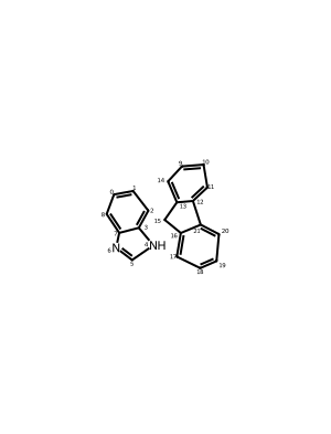 c1ccc2[nH]cnc2c1.c1ccc2c(c1)Cc1ccccc1-2